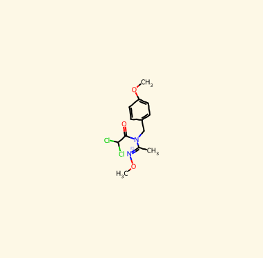 CO/N=C(\C)N(Cc1ccc(OC)cc1)C(=O)C(Cl)Cl